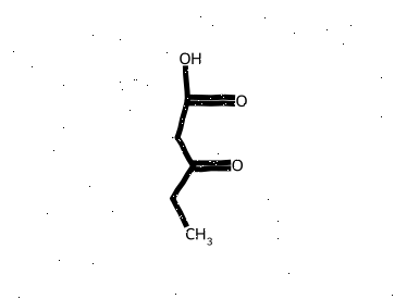 CCC(=O)[CH]C(=O)O